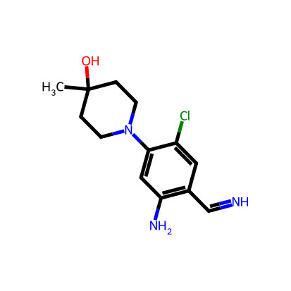 CC1(O)CCN(c2cc(N)c(C=N)cc2Cl)CC1